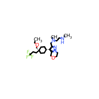 CCOC[C@]1(CCC(F)(F)F)CC[C@H](c2c(CN(C)CCNC)nn3c2COCC3)CC1